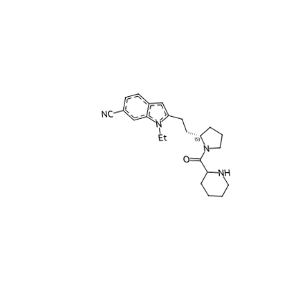 CCn1c(CC[C@@H]2CCCN2C(=O)C2CCCCN2)cc2ccc(C#N)cc21